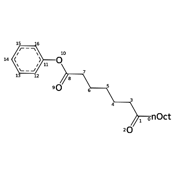 CCCCCCCCC(=O)CCCCCC(=O)Oc1ccccc1